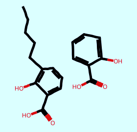 CCCCCc1cccc(C(=O)O)c1O.O=C(O)c1ccccc1O